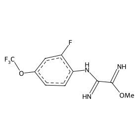 COC(=N)C(=N)Nc1ccc(OC(F)(F)F)cc1F